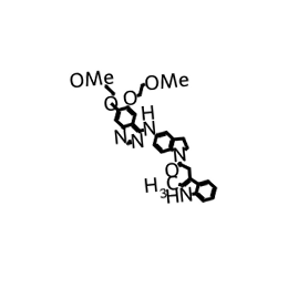 COCCOc1cc2ncnc(Nc3ccc4c(c3)CCN4C(=O)Cc3c(C)[nH]c4ccccc34)c2cc1OCCOC